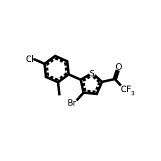 Cc1cc(Cl)ccc1-c1sc(C(=O)C(F)(F)F)cc1Br